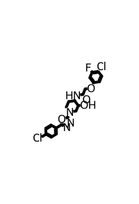 O=C(COc1ccc(Cl)c(F)c1)NC1CCN(c2nnc(-c3ccc(Cl)cc3)o2)CC1O